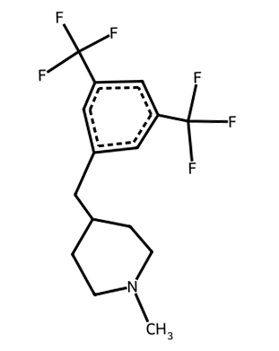 CN1CCC(Cc2cc(C(F)(F)F)cc(C(F)(F)F)c2)CC1